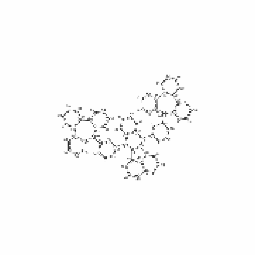 c1cc(-c2c3c(c(-c4cccc(N5c6ccccc6-c6ccccc6-c6ccccc65)c4)c4ccccc24)-c2cccc4cccc-3c24)cc(N2c3ccccc3-c3ccccc3-c3ccccc32)c1